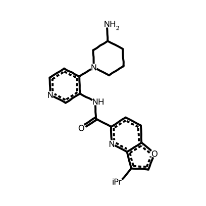 CC(C)c1coc2ccc(C(=O)Nc3cnccc3N3CCCC(N)C3)nc12